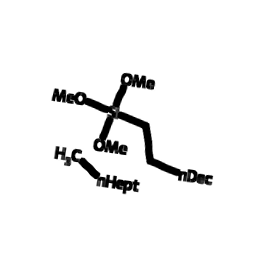 CCCCCCCC.CCCCCCCCCCCC[Si](OC)(OC)OC